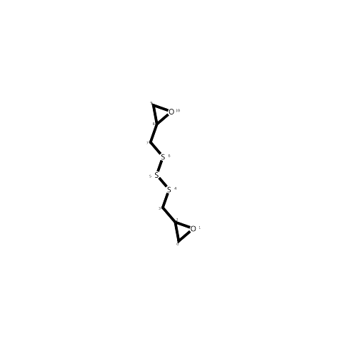 C1OC1CSSSCC1CO1